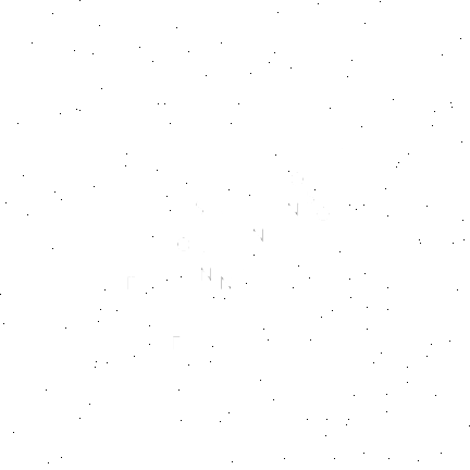 O=c1c(-c2cc3ccccc3s2)c(N2CCN(S(=O)(=O)Cc3ccccc3)CC2)cnn1-c1cc(F)cc(F)c1